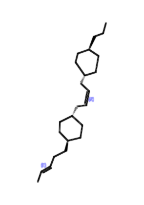 C/C=C/CC[C@H]1CC[C@H](C/C=C\C[C@H]2CC[C@H](CCC)CC2)CC1